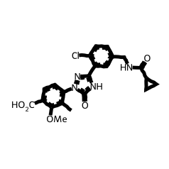 COc1c(C(=O)O)ccc(-n2nc(-c3cc(CNC(=O)C4CC4)ccc3Cl)[nH]c2=O)c1C